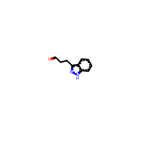 O=CCCc1n[nH]c2ccccc12